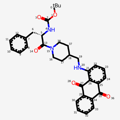 CC(C)(C)OC(=O)N[C@@H](Cc1ccccc1)C(=O)N1CCC(CNc2cccc3c2C(=O)c2ccccc2C3=O)CC1